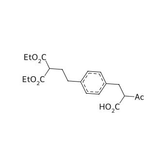 CCOC(=O)C(CCc1ccc(CC(C(C)=O)C(=O)O)cc1)C(=O)OCC